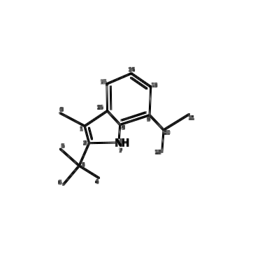 Cc1c(C(C)(C)C)[nH]c2c(C(C)C)cccc12